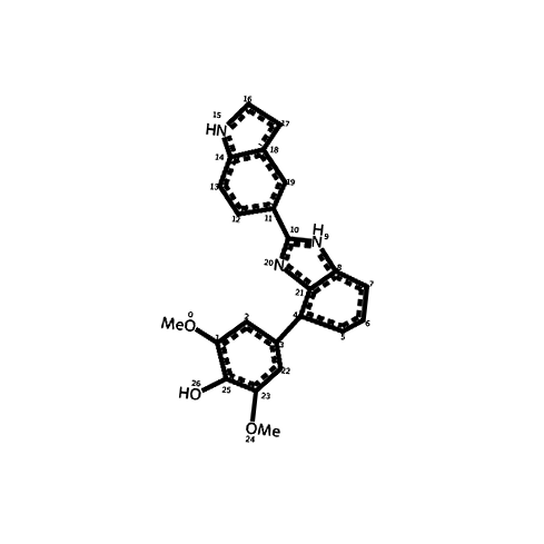 COc1cc(-c2cccc3[nH]c(-c4ccc5[nH]ccc5c4)nc23)cc(OC)c1O